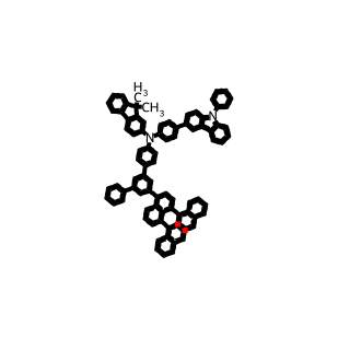 CC1(C)c2ccccc2-c2ccc(N(c3ccc(-c4cc(-c5ccccc5)cc(-c5ccc(-c6cccc7ccccc67)c6c(-c7cccc8ccccc78)cccc56)c4)cc3)c3ccc(-c4ccc5c(c4)c4ccccc4n5-c4ccccc4)cc3)cc21